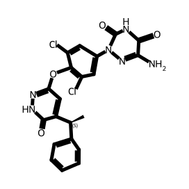 C[C@@H](c1ccccc1)c1cc(Oc2c(Cl)cc(-n3nc(N)c(=O)[nH]c3=O)cc2Cl)n[nH]c1=O